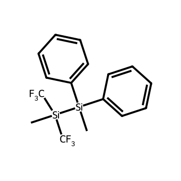 C[Si](c1ccccc1)(c1ccccc1)[Si](C)(C(F)(F)F)C(F)(F)F